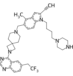 C#Cc1cc2c(C)c(CN3CCC4(CC3)CN(c3ncnc5ccc(CC(F)(F)F)cc35)C4)ccc2n1CCCCN1CCNCC1